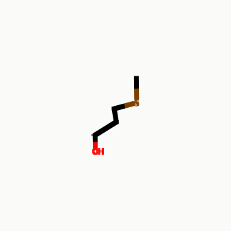 CSCC[CH]O